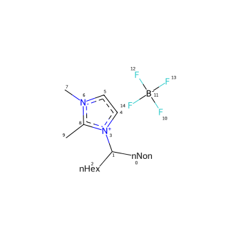 CCCCCCCCCC(CCCCCC)[n+]1ccn(C)c1C.F[B-](F)(F)F